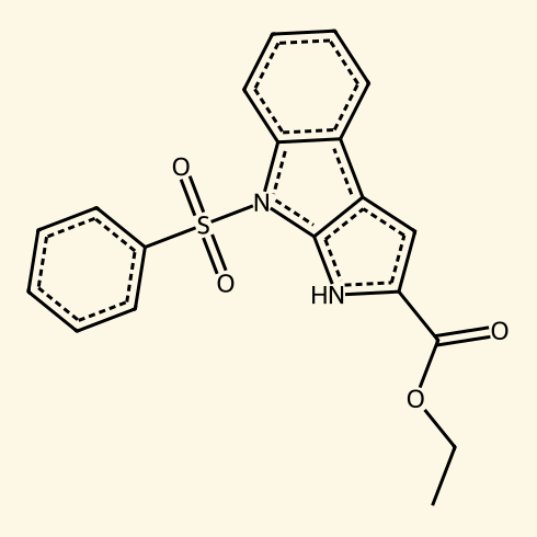 CCOC(=O)c1cc2c3ccccc3n(S(=O)(=O)c3ccccc3)c2[nH]1